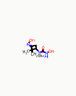 CC1(C)C(=NO)CC1N(C(=O)NO)C(C)(C)C